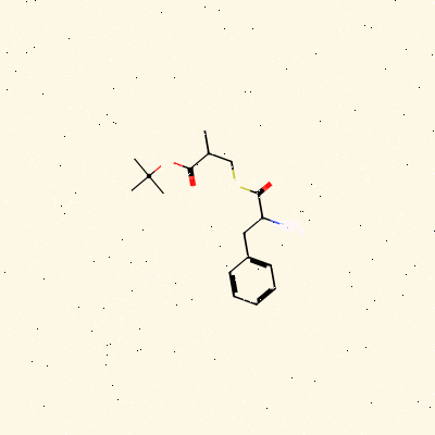 CC(CSC(=O)C(N)Cc1ccccc1)C(=O)OC(C)(C)C